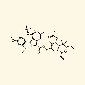 C=CC1OC(CC)C(C)(C)[C@H]([C@@H](OC(C)=O)/C(C)=C(\C)[C@H](C)OC(=O)[C@@H]2OC(c3ccc(OC)cc3OC)N(C(=O)OC(C)(C)C)[C@H]2CC(C)C)O1